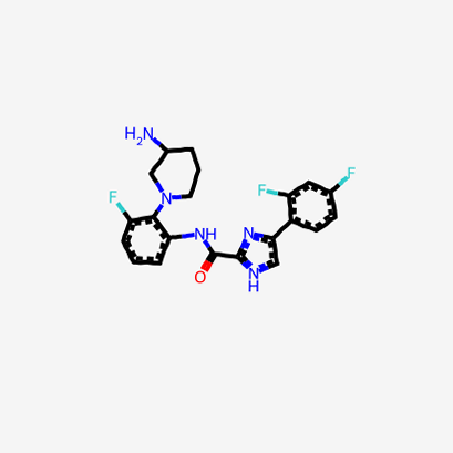 NC1CCCN(c2c(F)cccc2NC(=O)c2nc(-c3ccc(F)cc3F)c[nH]2)C1